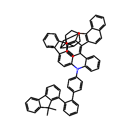 CC1(C)c2ccccc2-c2cccc(-c3ccccc3-c3ccc(N(c4ccc5c(c4)C4(c6ccccc6-5)C5CC6CC(C5)CC4C6)c4ccccc4-c4cccc5sc6c7ccccc7ccc6c45)cc3)c21